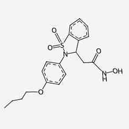 CCCCOc1ccc(N2C(CC(=O)NO)c3ccccc3S2(=O)=O)cc1